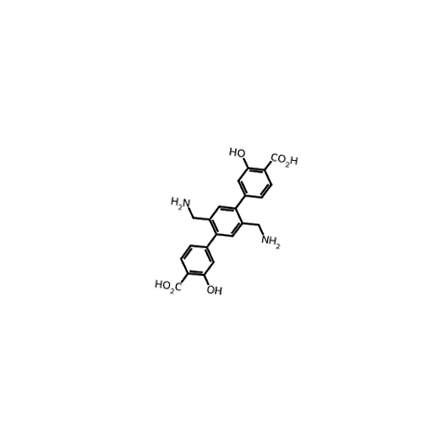 NCc1cc(-c2ccc(C(=O)O)c(O)c2)c(CN)cc1-c1ccc(C(=O)O)c(O)c1